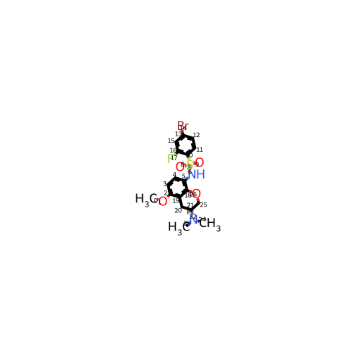 COc1ccc(NS(=O)(=O)c2ccc(Br)cc2F)c2c1C[C@@H](N(C)C)CO2